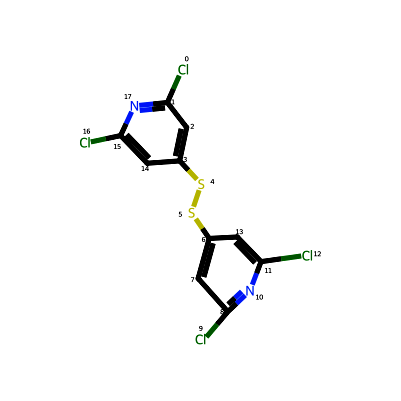 Clc1cc(SSc2cc(Cl)nc(Cl)c2)cc(Cl)n1